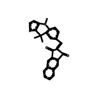 CN1c2ccc(C=C3C(=O)c4cc5ccccc5cc4C3=O)cc2C(C)(C)c2sccc21